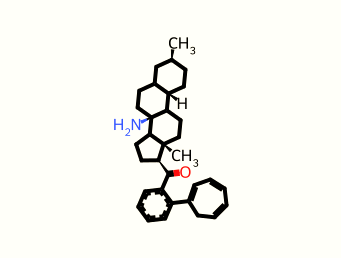 C[C@H]1CC[C@H]2C(CC[C@]3(N)C2CC[C@@]2(C)C3CC[C@@H]2C(=O)c2ccccc2C2=CC=CC=CC2)C1